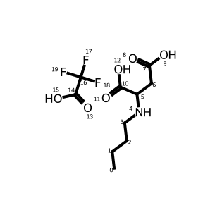 CCCCNC(CC(=O)O)C(=O)O.O=C(O)C(F)(F)F